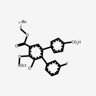 CCCCCCCCOc1c(C(=O)OC[C@@H](C)CC)cc(-c2ccc(C(=O)O)cc2)c(-c2cccc(F)c2)c1Cl